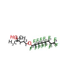 C[Si](C)(O)CCCOC(F)C(F)(F)C(F)(F)C(F)(F)C(F)(F)C(F)C(F)C(F)F